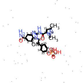 COc1cc(C(N)=O)cc2nc(NC(=O)c3cc(C)nn3C)n(CCc3ccc(OP(=O)(O)O)cc3)c12